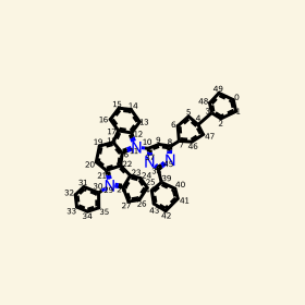 c1ccc(-c2ccc(-c3cc(-n4c5ccccc5c5ccc6c(c7ccccc7n6-c6ccccc6)c54)nc(-c4ccccc4)n3)cc2)cc1